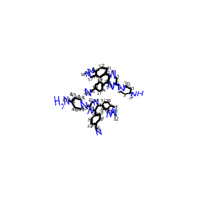 CNC1CCN(c2cnc(-c3ccc4nn(C)cc4c3)c(-c3ccc(C#N)cc3)n2)CC1.Cn1cc2ccc(-c3ncc(N4CCC(N)CC4)nc3-c3ccc(C#N)cc3)cc2n1